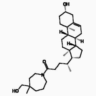 C[C@H](CCC(=O)N1CCCC(C)(CO)CC1)[C@H]1CC[C@H]2[C@@H]3CC=C4C[C@@H](O)CC[C@]4(C)[C@H]3CC[C@]12C